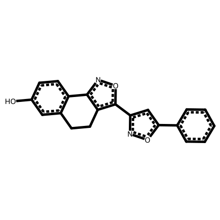 Oc1ccc2c(c1)CCc1c-2noc1-c1cc(-c2ccccc2)on1